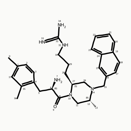 Cc1ccc(C[C@@H](N)C(=O)N2C[C@@H](C)N(Cc3ccc4ccccc4c3)C[C@@H]2CCCNC(=N)N)c(C)c1